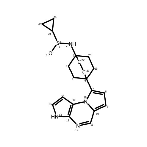 [O-][S+](NC12CCC(c3ccc4cnc5[nH]ccc5n34)(CC1)CC2)C1CC1